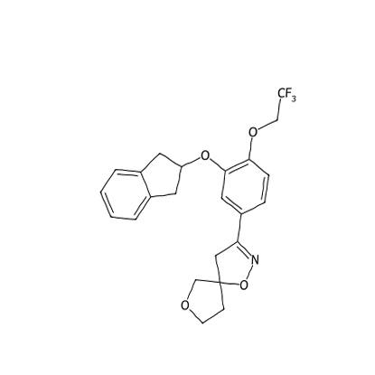 FC(F)(F)COc1ccc(C2=NOC3(CCOC3)C2)cc1OC1Cc2ccccc2C1